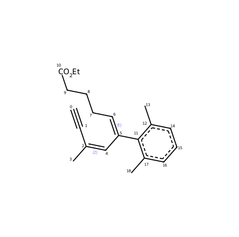 C#C/C(C)=C\C(=C/CCCC(=O)OCC)c1c(C)cccc1C